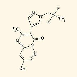 O=c1c(-c2cnn(CC(F)(F)C(F)(F)F)c2)c(C(F)(F)F)nc2cc(O)cnn12